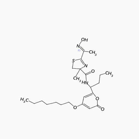 CCCCCCCOc1cc(C(CCC)NC(=O)C2(C)CSC(/C(C)=N/O)=N2)oc(=O)c1